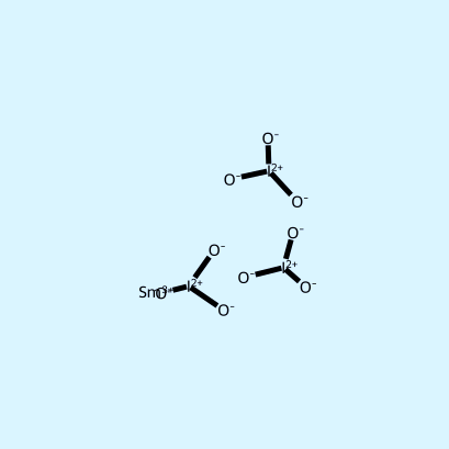 [O-][I+2]([O-])[O-].[O-][I+2]([O-])[O-].[O-][I+2]([O-])[O-].[Sm+3]